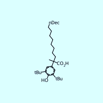 CCCCCCCCCCCCCCCCCCC(C)(C(=O)O)c1cc(C(C)(C)C)c(O)c(C(C)(C)C)c1